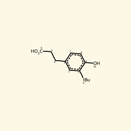 CC(C)(C)c1cc(CCC(=O)O)ccc1O